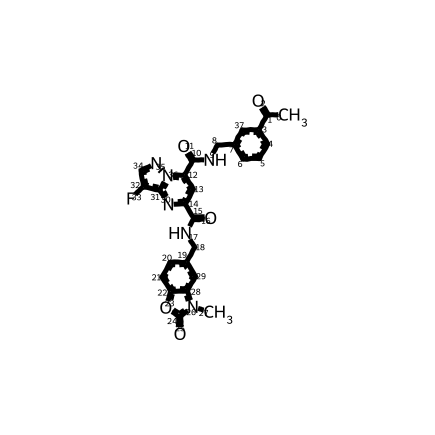 CC(=O)c1cccc(CNC(=O)c2cc(C(=O)NCc3ccc4oc(=O)n(C)c4c3)nc3c(F)cnn23)c1